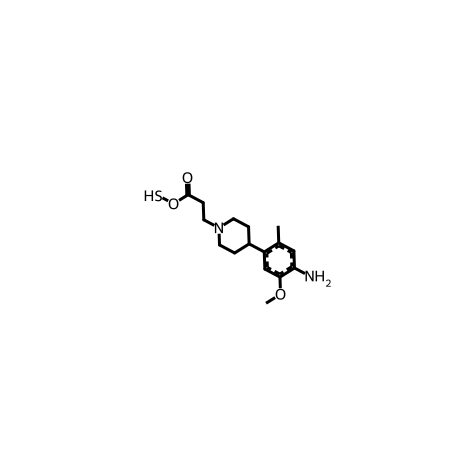 COc1cc(C2CCN(CCC(=O)OS)CC2)c(C)cc1N